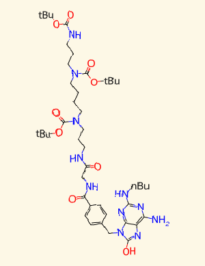 CCCCNc1nc(N)c2nc(O)n(Cc3ccc(C(=O)NCC(=O)NCCCN(CCCCN(CCCNC(=O)OC(C)(C)C)C(=O)OC(C)(C)C)C(=O)OC(C)(C)C)cc3)c2n1